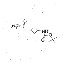 CC(C)(C)OC(=O)NC1CC(CC(N)=O)C1